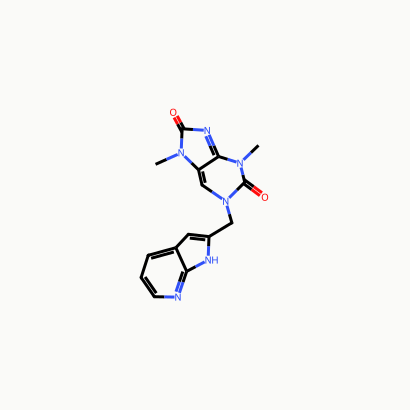 Cn1c2cn(Cc3cc4cccnc4[nH]3)c(=O)n(C)c-2nc1=O